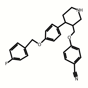 N#Cc1ccc(OCC2CNCCC2c2ccc(OCc3ccc(F)cc3)cc2)cc1